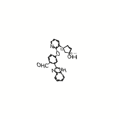 C[C@@]1(O)CC[C@H](c2cccnc2Oc2ccc(C=O)c(-c3nc4ccccc4[nH]3)c2)C1